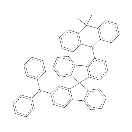 CC1(C)c2ccccc2N(c2cccc3c2-c2ccccc2C32c3ccccc3-c3ccc(N(c4ccccc4)c4ccccc4)cc32)c2ccccc21